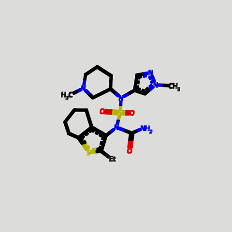 CCc1sc2c(c1N(C(N)=O)S(=O)(=O)N(c1cnn(C)c1)C1CCCN(C)C1)CCCC2